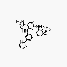 NC(=O)c1cc(F)c(NC2CCCC(F)(F)[C@@H]2N)nc1Nc1cccc(-c2ncccn2)c1